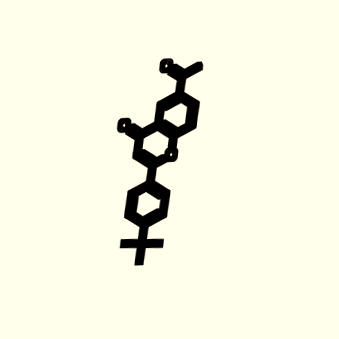 CC(=O)c1ccc2oc(-c3ccc(C(C)(C)C)cc3)cc(=O)c2c1